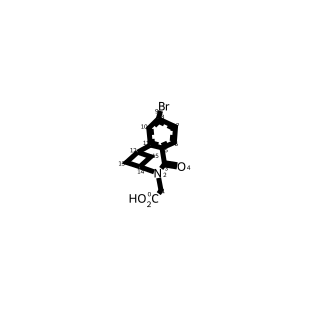 O=C(O)CN1C(=O)c2ccc(Br)cc2C2CC1C2